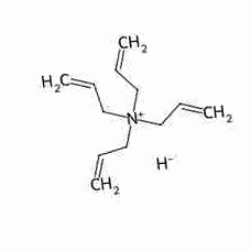 C=CC[N+](CC=C)(CC=C)CC=C.[H-]